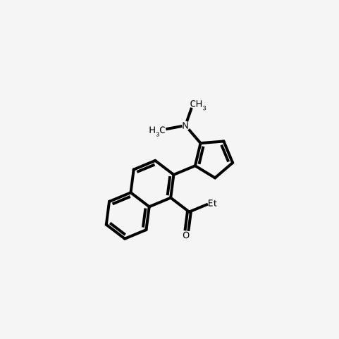 CCC(=O)c1c(C2=C(N(C)C)C=CC2)ccc2ccccc12